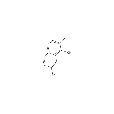 Cc1ccc2ccc(Br)cc2c1O